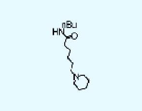 CCCCNC(=O)CCCCCN1CCCCC1